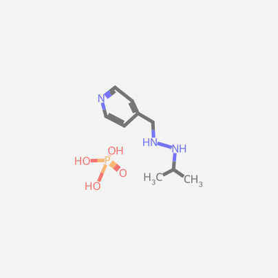 CC(C)NNCc1ccncc1.O=P(O)(O)O